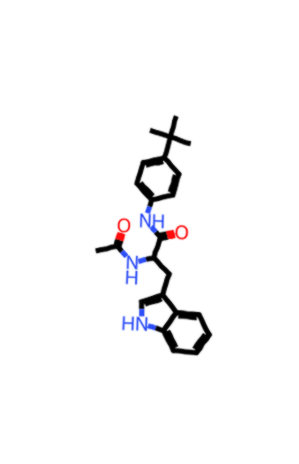 CC(=O)NC(Cc1c[nH]c2ccccc12)C(=O)Nc1ccc(C(C)(C)C)cc1